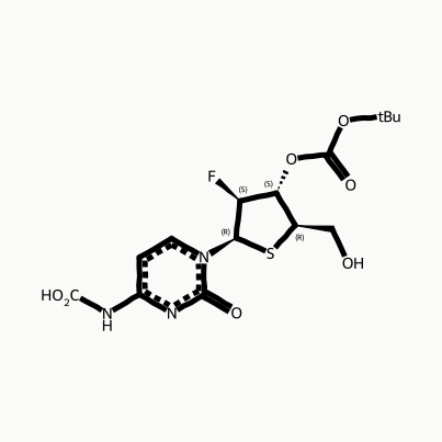 CC(C)(C)OC(=O)O[C@H]1[C@H](F)[C@H](n2ccc(NC(=O)O)nc2=O)S[C@@H]1CO